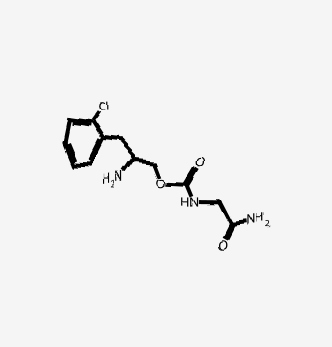 NC(=O)CNC(=O)OCC(N)Cc1ccccc1Cl